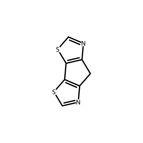 c1nc2c(s1)-c1scnc1C2